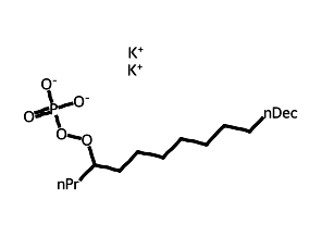 CCCCCCCCCCCCCCCCCC(CCC)OOP(=O)([O-])[O-].[K+].[K+]